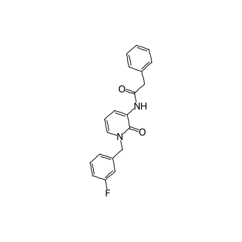 O=C(Cc1ccccc1)Nc1cccn(Cc2cccc(F)c2)c1=O